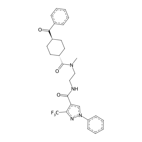 CN(CCNC(=O)c1cn(-c2ccccc2)nc1C(F)(F)F)C(=O)[C@H]1CC[C@H](C(=O)c2ccccc2)CC1